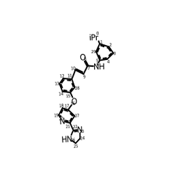 CC(C)c1cccc(NC(=O)/C=C/c2cccc(Oc3ccnc(C4=NCCN4)c3)c2)c1